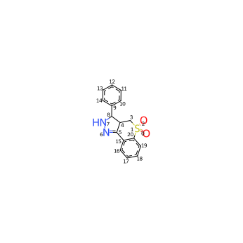 O=S1(=O)CC2C(=NNC2c2ccccc2)c2ccccc21